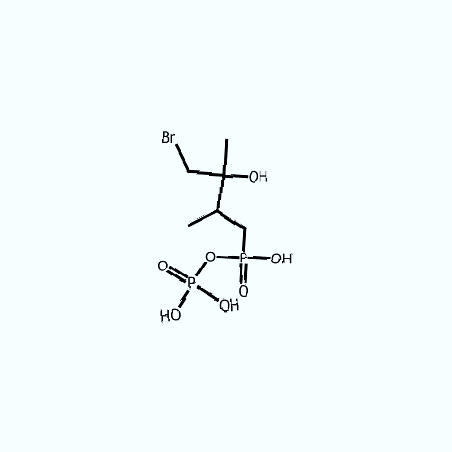 CC(CP(=O)(O)OP(=O)(O)O)C(C)(O)CBr